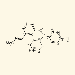 CON=Cc1cccc(OC(c2ccc(Cl)nn2)C2CCNCC2)c1